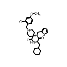 COc1ccc(CN2CCC3(CC2)C(=O)NC(CC2CCCCC2)C(=O)N3Cc2cccs2)c(Cl)c1